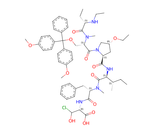 CCN[C@@H](CC)C(=O)N(C)[C@@H](COC(c1ccccc1)(c1ccc(OC)cc1)c1ccc(OC)cc1)C(=O)N1C[C@H](OCC)C[C@H]1C(=O)N[C@H](C(=O)N(C)[C@@H](Cc1ccccc1)C(=O)N[C@H](C(=O)O)C(O)Cl)[C@@H](C)CC